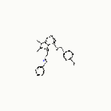 Cc1c(C)n(C/C=C/c2ccccc2)c2c(OCc3ccc(F)cc3)nncc12